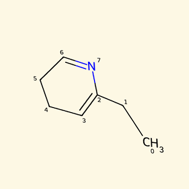 CCC1=CCCC=N1